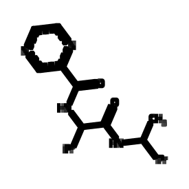 CC(C)C(C)NC(=O)C(NC(=O)c1cnccn1)C(C)C